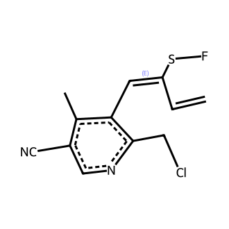 C=C/C(=C\c1c(CCl)ncc(C#N)c1C)SF